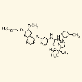 COCCOc1cc2ncnc(Sc3cccc(NC(=O)N[N+]4(c5cccc(C)c5)C=CC(C(C)(C)C)=N4)c3)c2cc1OC